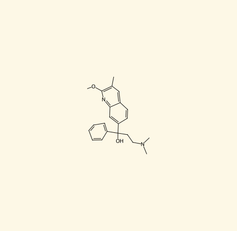 COc1nc2cc(C(O)(CCN(C)C)c3ccccc3)ccc2cc1C